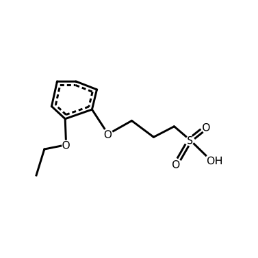 CCOc1ccccc1OCCCS(=O)(=O)O